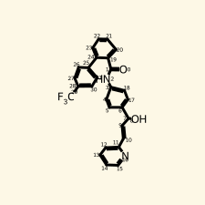 O=C(Nc1ccc(C(O)C=Cc2ccccn2)cc1)c1ccccc1-c1ccc(C(F)(F)F)cc1